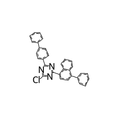 Clc1nc(-c2ccc(-c3ccccc3)cc2)nc(-c2ccc(-c3ccccc3)c3ccccc23)n1